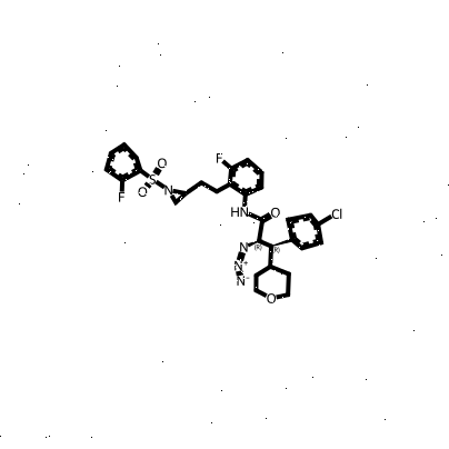 [N-]=[N+]=N[C@@H](C(=O)Nc1cccc(F)c1CCC1CN1S(=O)(=O)c1ccccc1F)[C@@H](c1ccc(Cl)cc1)C1CCOCC1